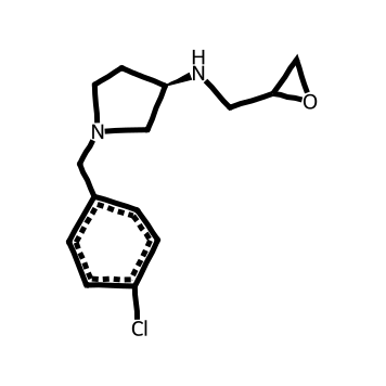 Clc1ccc(CN2CC[C@@H](NCC3CO3)C2)cc1